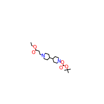 CCOC(=O)CCN1CCC(C2CCN(OC(=O)OC(C)(C)C)CC2)CC1